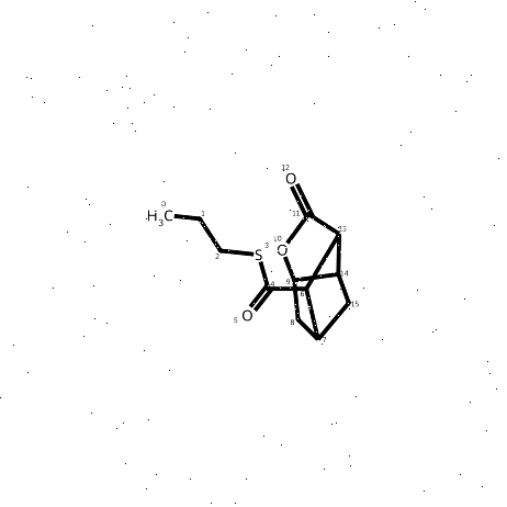 CCCSC(=O)C1C2CC3OC(=O)C1C3C2